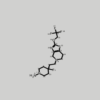 NN1CCC(F)(CCN2CCc3sc(OCC(F)(F)F)nc3C2)CC1